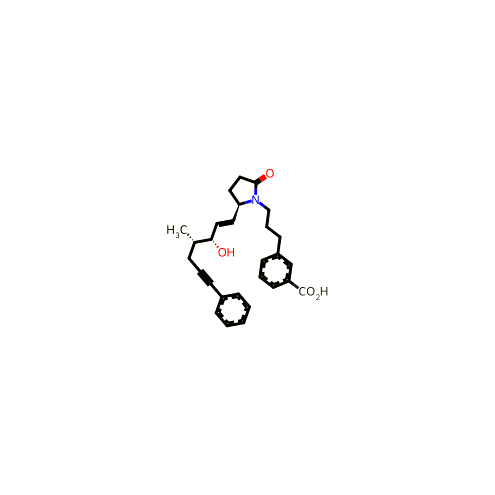 C[C@@H](CC#Cc1ccccc1)[C@@H](O)C=C[C@H]1CCC(=O)N1CCCc1cccc(C(=O)O)c1